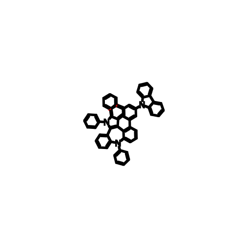 c1ccc(-c2cc(-c3cccc4c3-c3c(n(-c5ccccc5)c5ccccc35)-c3ccccc3N4c3ccccc3)cc(-n3c4ccccc4c4ccccc43)c2)cc1